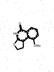 COc1cccc2c(=O)[nH]c3c(c12)CCS3